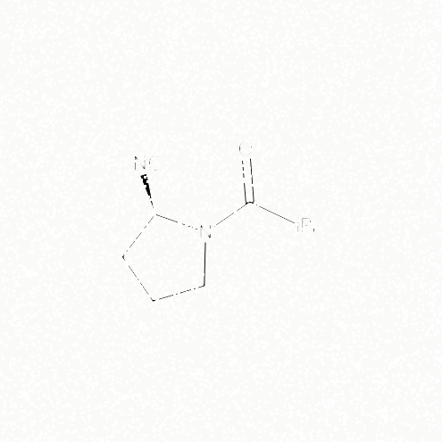 [C-]#[N+][C@@H]1CCCN1C(=O)C(C)C